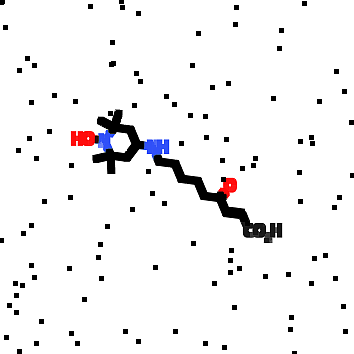 CC1(C)CC(NCCCCCC(=O)/C=C/C(=O)O)CC(C)(C)N1O